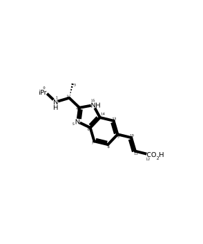 CC(C)N[C@H](C)c1nc2ccc(/C=C/C(=O)O)cc2[nH]1